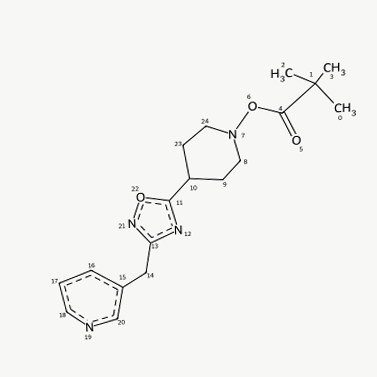 CC(C)(C)C(=O)ON1CCC(c2nc(Cc3cccnc3)no2)CC1